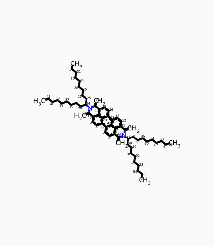 C=C1c2ccc3c4ccc5c6c(ccc(c7ccc(c2c37)C(=C)N1C(CCCCCCCCC)CCCCCCCCC)c64)C(=C)N(C(CCCCCCCCC)CCCCCCCCC)C5=C